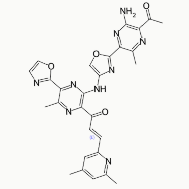 CC(=O)c1nc(C)c(-c2nc(Nc3nc(-c4ncco4)c(C)nc3C(=O)/C=C/c3cc(C)cc(C)n3)co2)nc1N